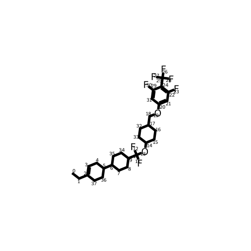 CCC1=CCC(C2CCC(C(F)(F)OC3CCC(COc4cc(F)c(C(F)(F)F)c(F)c4)CC3)CC2)CC1